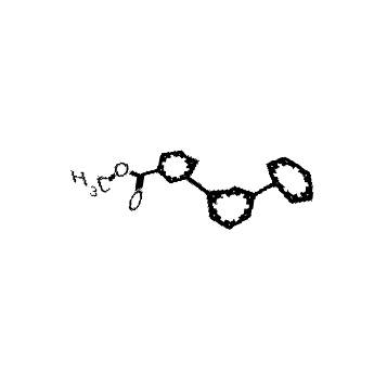 COC(=O)c1cccc(-c2cccc(-c3ccccc3)c2)c1